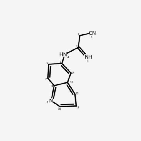 N#CCC(=N)Nc1ccc2ncccc2c1